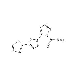 CNC(=O)n1nccc1-c1ccc(-c2cccs2)s1